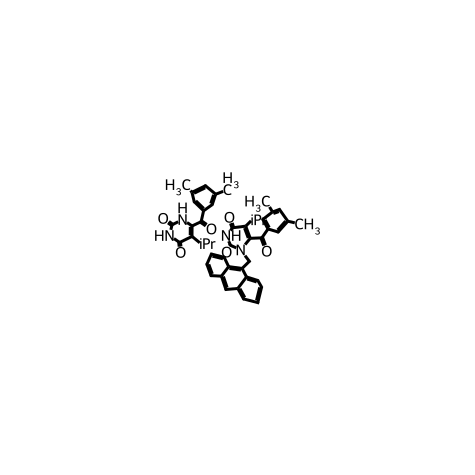 Cc1cc(C)cc(C(=O)c2[nH]c(=O)[nH]c(=O)c2C(C)C)c1.Cc1cc(C)cc(C(=O)c2c(C(C)C)c(=O)[nH]c(=O)n2Cc2c3ccccc3cc3ccccc23)c1